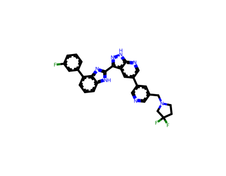 Fc1cccc(-c2cccc3[nH]c(-c4n[nH]c5ncc(-c6cncc(CN7CCC(F)(F)C7)c6)cc45)nc23)c1